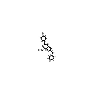 Nc1nc(-c2ccc(F)cc2)cn2nc(Cc3ccccc3)nc12